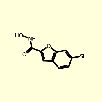 O=C(NO)c1cc2ccc(S)cc2o1